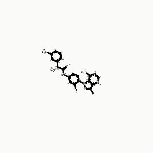 Cc1nn(-c2ccc(NC(=O)[C@H](O)c3cccc(C(F)(F)F)c3)cc2Cl)c2c(N)ncnc12